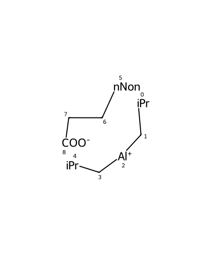 CC(C)[CH2][Al+][CH2]C(C)C.CCCCCCCCCCCC(=O)[O-]